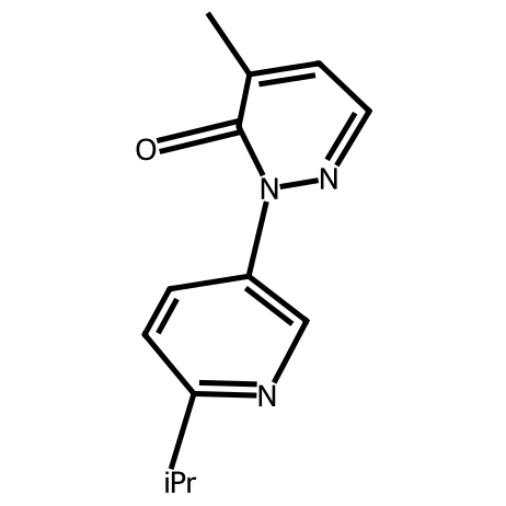 Cc1ccnn(-c2ccc(C(C)C)nc2)c1=O